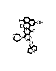 CCc1c(F)ccc2cc(O)cc(-c3ncc4c(N5CCCSCC5)nc(OCC56CCCN5CCC6)nc4c3F)c12